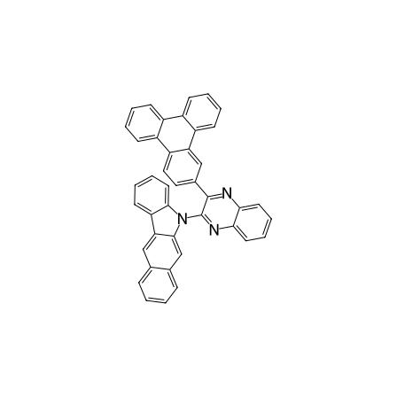 c1ccc2cc3c(cc2c1)c1ccccc1n3-c1nc2ccccc2nc1-c1ccc2c3ccccc3c3ccccc3c2c1